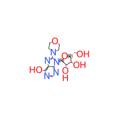 OC[C@H]1O[C@@H](n2c(N3CCOCC3)nc3c(O)ncnc32)C(O)C1O